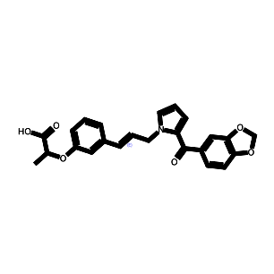 CC(Oc1cccc(/C=C/Cn2cccc2C(=O)c2ccc3c(c2)OCO3)c1)C(=O)O